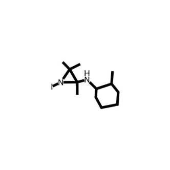 CC1CCCCC1NC1(C)N(I)C1(C)C